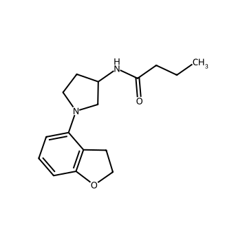 CCCC(=O)NC1CCN(c2cccc3c2CCO3)C1